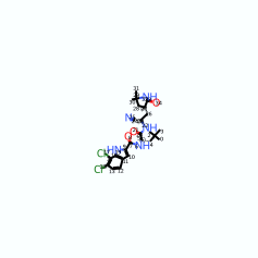 CC(C)(C)C[C@H](NC(=O)c1cc2ccc(Cl)c(Cl)c2[nH]1)C(=O)N[C@H](C#N)C[C@@H]1CC(C)(C)NC1=O